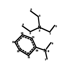 CCN(CC)CC.CN(C)c1ccccc1